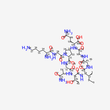 CC[C@H](C)[C@H](NC(=O)[C@@H](NC(=O)[C@H](CCC(N)=O)NC(=O)[C@@H]1CCCN1C(=O)CNC(=O)[C@@H](N)CCCCN)[C@@H](C)O)C(=O)N[C@@H](C)C(=O)NCC(=O)N[C@@H](CCC(N)=O)C(=O)O